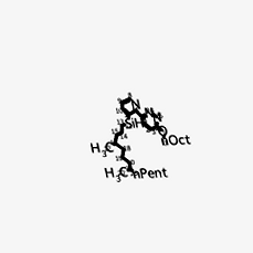 CCCCCCCCOc1ccc(-c2ncccc2[SiH2]CCCC(C)CCCC(C)CCCCC)nn1